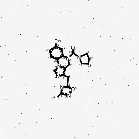 CC(C)c1noc(Cc2ncn3c2CN(C(=O)N2CCCC2)c2cc(F)ccc2-3)n1